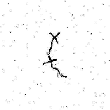 CNCCC(C)(C)OCCC(C)(C)C